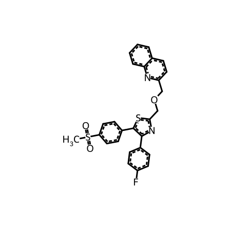 CS(=O)(=O)c1ccc(-c2sc(COCc3ccc4ccccc4n3)nc2-c2ccc(F)cc2)cc1